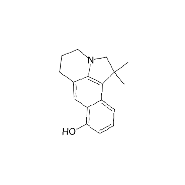 CC1(C)CN2CCCc3cc4c(O)cccc4c1c32